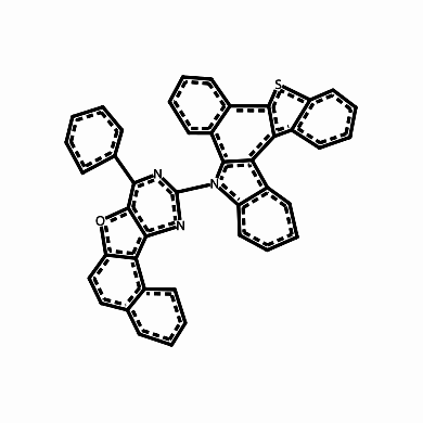 c1ccc(-c2nc(-n3c4ccccc4c4c5c6ccccc6sc5c5ccccc5c43)nc3c2oc2ccc4ccccc4c23)cc1